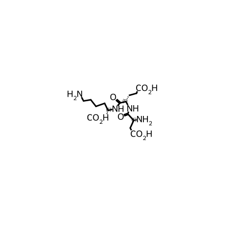 NCCCC[C@H](NC(=O)[C@H](CCC(=O)O)NC(=O)[C@@H](N)CC(=O)O)C(=O)O